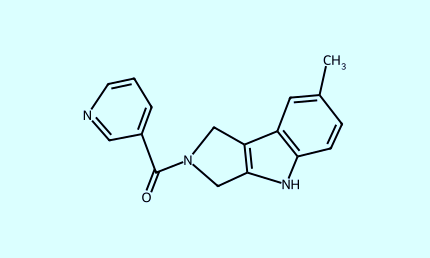 Cc1ccc2[nH]c3c(c2c1)CN(C(=O)c1cccnc1)C3